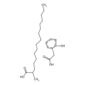 CCCCCCCCCCCCCCC(C)C(=O)O.O=C(O)Cc1ccccc1O